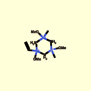 C=C[N+]1(OC)[SiH2][N+](C)(OC)[SiH2][N+](C)(OC)[SiH2]1